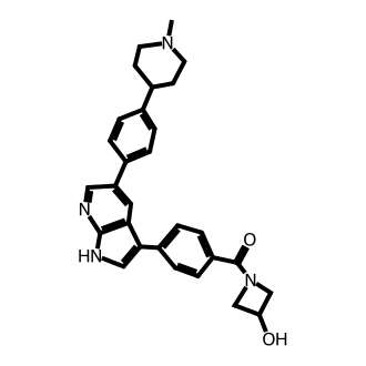 CN1CCC(c2ccc(-c3cnc4[nH]cc(-c5ccc(C(=O)N6CC(O)C6)cc5)c4c3)cc2)CC1